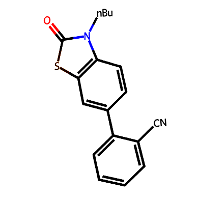 CCCCn1c(=O)sc2cc(-c3ccccc3C#N)ccc21